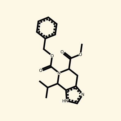 COC(=O)C1Cc2nc[nH]c2C(C(C)C)N1C(=O)OCc1ccccc1